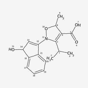 CC(C)C1=C(C(=O)O)C(C)ON1C1=CC(O)c2ccccc21